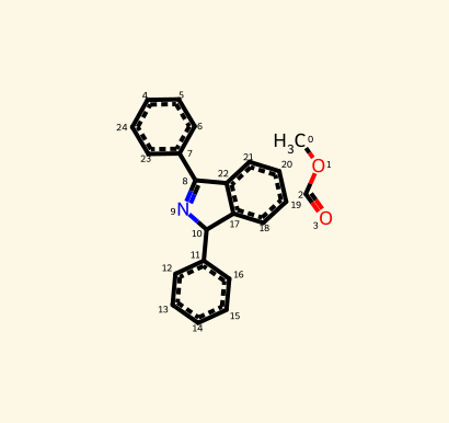 COC=O.c1ccc(C2=NC(c3ccccc3)c3ccccc32)cc1